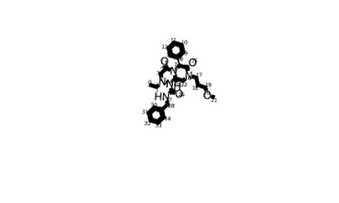 CCN1CC(=O)N2[C@@H](c3ccccc3)C(=O)N(CCCOC)C[C@@H]2N1C(=O)NCc1ccccc1